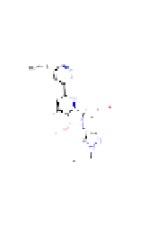 COc1cncc(-c2cc(C)c3c(n2)C2(CC(O)C2)N(c2cnn(CC(F)(F)F)c2)C3O)c1